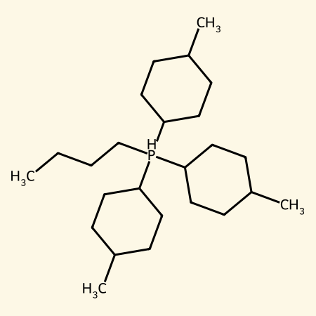 CCCC[PH](C1CCC(C)CC1)(C1CCC(C)CC1)C1CCC(C)CC1